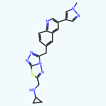 Cn1cc(-c2cnc3ccc(Cc4nnc5sc(CNC6CC6)nn45)cc3c2)cn1